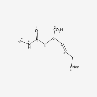 CCCCCCCCCC/C=C/C(CC(=O)NCCC)C(=O)O